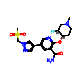 CN1CC[C@H](Oc2ncc(-c3cnn(CS(C)(=O)=O)c3)cc2C(N)=O)[C@@H](F)C1